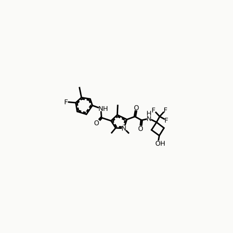 Cc1cc(NC(=O)c2c(C)c(C(=O)C(=O)NC3(C(F)(F)F)CC(O)C3)n(C)c2C)ccc1F